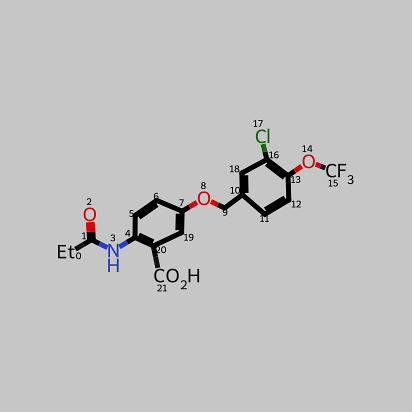 CCC(=O)Nc1ccc(OCc2ccc(OC(F)(F)F)c(Cl)c2)cc1C(=O)O